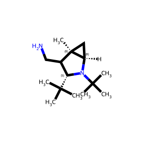 CC(C)(C)[C@@H]1C(CN)[C@@]2(C)C[C@H]2N1C(C)(C)C